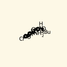 CC(C)(C)OC(=O)NC1CCN(C(=O)C(N)C(F)(F)c2ccc3c(c2)oc2cc(Cl)ccc23)CC1